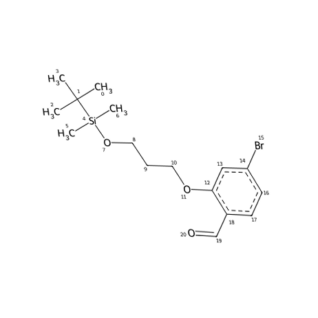 CC(C)(C)[Si](C)(C)OCCCOc1cc(Br)ccc1C=O